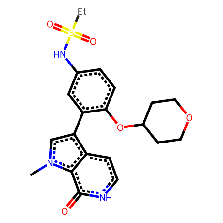 CCS(=O)(=O)Nc1ccc(OC2CCOCC2)c(-c2cn(C)c3c(=O)[nH]ccc23)c1